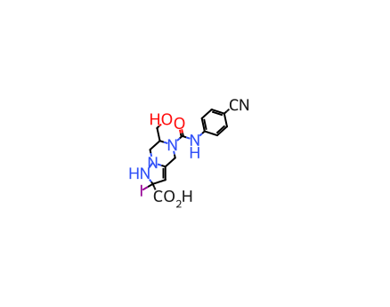 N#Cc1ccc(NC(=O)N2CC3=CC(I)(C(=O)O)NN3CC2CO)cc1